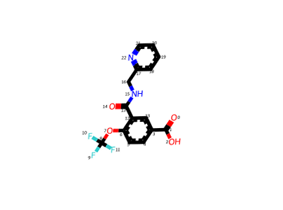 O=C(O)c1ccc(OC(F)(F)F)c(C(=O)NCc2ccccn2)c1